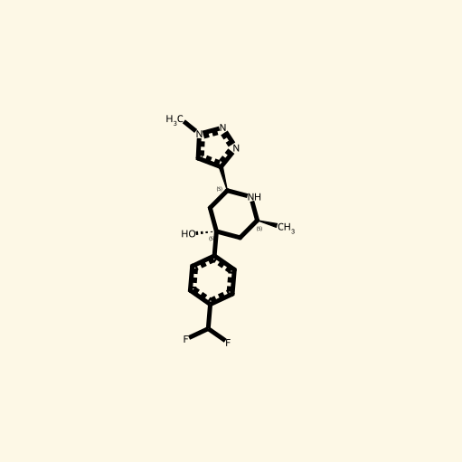 C[C@H]1C[C@@](O)(c2ccc(C(F)F)cc2)C[C@@H](c2cn(C)nn2)N1